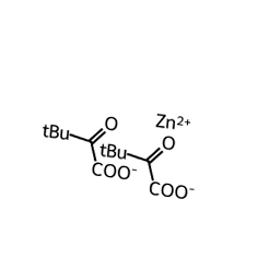 CC(C)(C)C(=O)C(=O)[O-].CC(C)(C)C(=O)C(=O)[O-].[Zn+2]